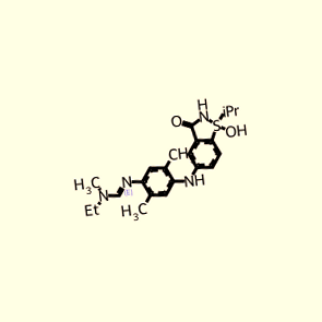 CCN(C)/C=N/c1cc(C)c(Nc2ccc3c(c2)C(=O)NS3(O)C(C)C)cc1C